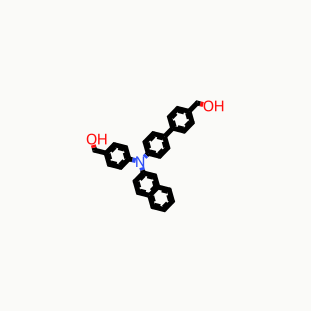 OCc1ccc(-c2ccc(N(c3ccc(CO)cc3)c3ccc4ccccc4c3)cc2)cc1